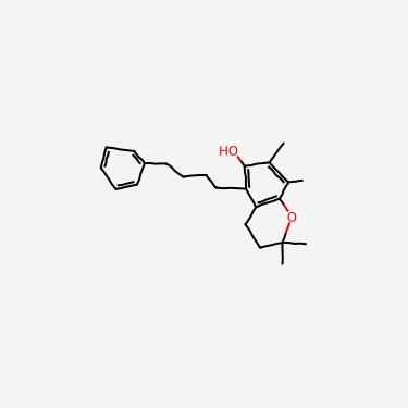 Cc1c(C)c2c(c(CCCCc3ccccc3)c1O)CCC(C)(C)O2